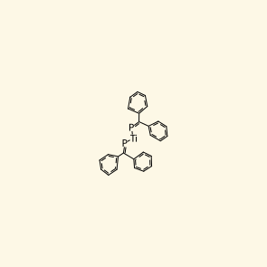 c1ccc(C(=[P][Ti][P]=C(c2ccccc2)c2ccccc2)c2ccccc2)cc1